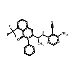 C[C@H](Nc1ncnc(N)c1C#N)c1cc2cccc(C(F)(F)F)c2c(=O)n1-c1ccccc1